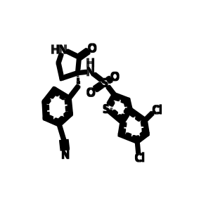 N#Cc1cccc(C[C@]2(NS(=O)(=O)c3cc4c(Cl)cc(Cl)cc4s3)CCNC2=O)c1